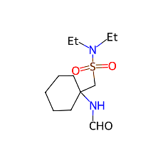 CCN(CC)S(=O)(=O)CC1(NC=O)CCCCC1